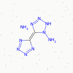 N.NN1NN=NC1=C1N=NN=N1